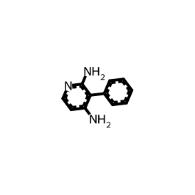 Nc1ccnc(N)c1-c1ccccc1